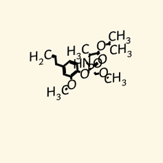 C=CCc1ccc(OP(=O)(COC)N[C@@H](C)C(=O)OC(C)C)c(OC)c1